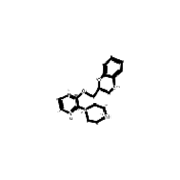 c1ccc2c(c1)OC(COc1nccnc1N1CCNCC1)CS2